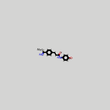 CSC(=N)c1ccc(CCC(=O)Nc2ccc([O])cc2)cc1